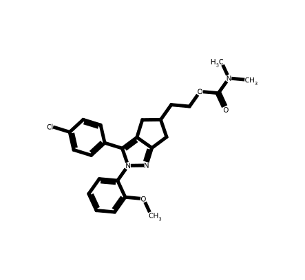 COc1ccccc1-n1nc2c(c1-c1ccc(Cl)cc1)CC(CCOC(=O)N(C)C)C2